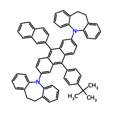 CC(C)(C)c1ccc(-c2c3ccc(N4c5ccccc5CCc5ccccc54)cc3c(-c3ccc4ccccc4c3)c3ccc(N4c5ccccc5CCc5ccccc54)cc23)cc1